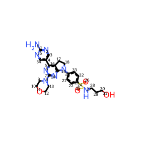 Nc1ncc(-c2nc(N3CCOCC3)nc3c2CCN3c2ccc(S(=O)(=O)NCCCO)cc2)cn1